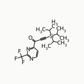 CC(C)[Si](C#CC(=O)c1ccnc(C(F)(F)F)n1)(C(C)C)C(C)C